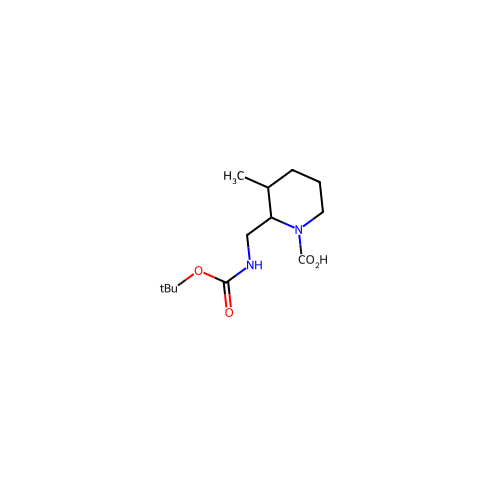 CC1CCCN(C(=O)O)C1CNC(=O)OC(C)(C)C